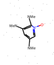 CNc1cc(NC)c(NC)[n+]([O-])c1